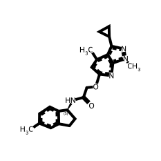 Cc1ccc2c(c1)CC[C@@H]2NC(=O)COc1cc(C)c2c(C3CC3)nn(C)c2n1